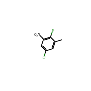 Cc1cc(Cl)cc([N+](=O)[O-])c1Br